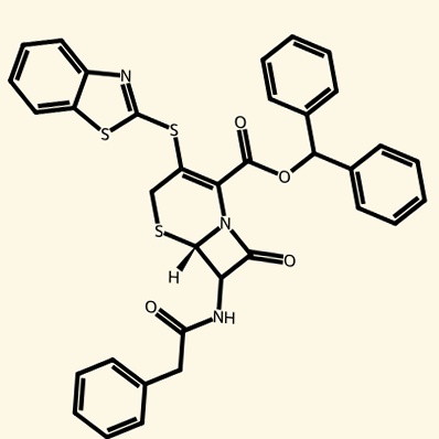 O=C(Cc1ccccc1)NC1C(=O)N2C(C(=O)OC(c3ccccc3)c3ccccc3)=C(Sc3nc4ccccc4s3)CS[C@@H]12